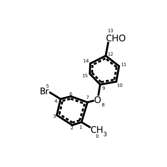 Cc1ccc(Br)cc1Oc1ccc(C=O)cc1